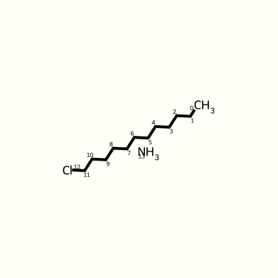 CCCCCCCCCCCCCl.N